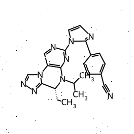 CC[C@@H]1c2nncn2-c2cnc(-n3ccnc3-c3ccc(C#N)cc3)nc2N1C(C)C